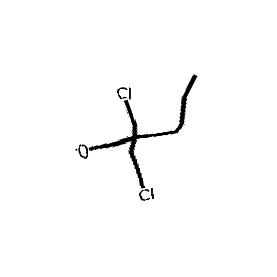 CCC([O])(Cl)Cl